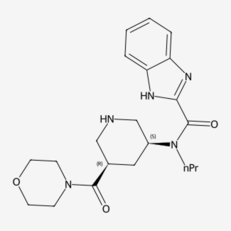 CCCN(C(=O)c1nc2ccccc2[nH]1)[C@@H]1CNC[C@H](C(=O)N2CCOCC2)C1